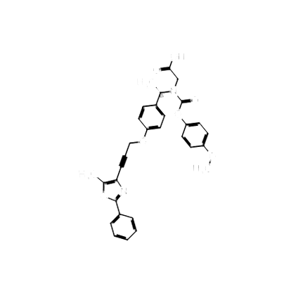 COc1ccc(OC(=O)N(CC(=O)O)[C@H](C)c2ccc(OCC#Cc3nc(-c4ccccc4)oc3C)cc2)cc1